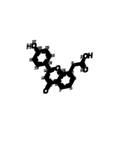 O=C(O)Cc1cccc2c(=O)cc(-c3ccc(O)cc3)oc12